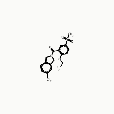 CS(=O)(=O)c1ccc(OCC(F)(F)F)c(C(=O)N2Cc3ccc(C(F)(F)F)cc3C2)c1